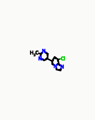 Cc1ncc(-c2cc(Cl)c3nccn3c2)cn1